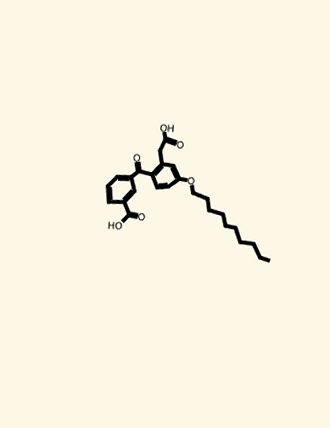 CCCCCCCCCCOc1ccc(C(=O)c2cccc(C(=O)O)c2)c(CC(=O)O)c1